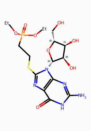 CCOP(=O)(CCSc1nc2c(=O)[nH]c(N)nc2n1[C@@H]1O[C@H](CO)[C@@H](O)[C@H]1O)OCC